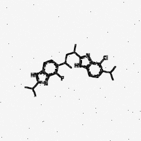 CC(C)c1nc2c(F)c(C(C)CC(C)c3nc4c(Cl)c(C(C)C)ccc4[nH]3)ccc2[nH]1